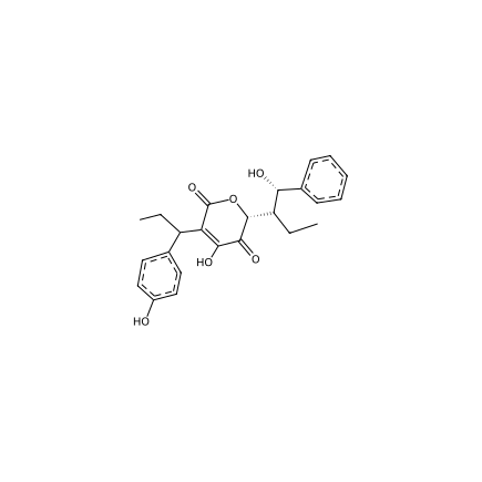 CCC(C1=C(O)C(=O)[C@@H](C(CC)[C@H](O)c2ccccc2)OC1=O)c1ccc(O)cc1